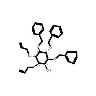 C=CCO[C@@H]1[C@@H](OCc2ccccc2)[C@H](OCc2ccccc2)[C@@H](OCc2ccccc2)[C@@H](O)[C@H]1OCC=C